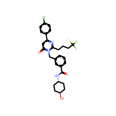 O=C(N[C@H]1CC[C@H](O)CC1)c1cccc(Cn2c(CCCC(F)(F)F)nc(-c3ccc(Cl)cc3)cc2=O)c1